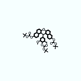 COc1cc(C2c3c(ccc4cc(OC(=O)OC(C)(C)C)ccc34)Oc3ccc4cc(OC(=O)OC(C)(C)C)ccc4c32)cc(I)c1OC(=O)OC(C)(C)C